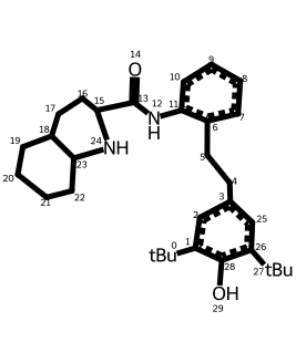 CC(C)(C)c1cc(CCc2ccccc2NC(=O)C2CCC3CCCCC3N2)cc(C(C)(C)C)c1O